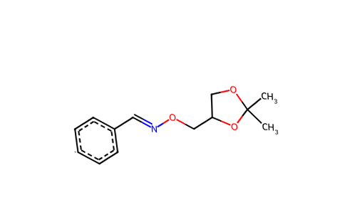 CC1(C)OCC(CON=Cc2cc[c]cc2)O1